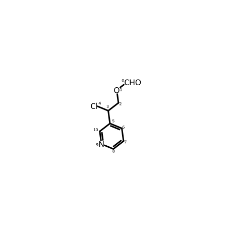 O=COCC(Cl)c1cccnc1